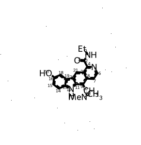 CCNC(=O)c1nccc2c(C)c3[nH]c4ccc(O)cc4c3cc12.CNC